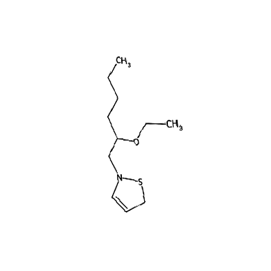 CCCCC(CN1C=CCS1)OCC